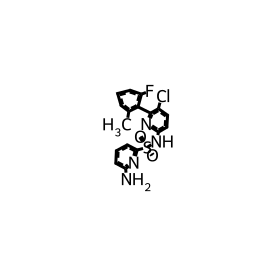 Cc1cccc(F)c1-c1nc(NS(=O)(=O)c2cccc(N)n2)ccc1Cl